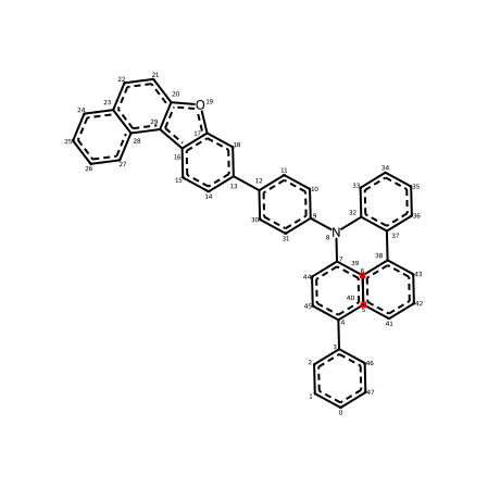 c1ccc(-c2ccc(N(c3ccc(-c4ccc5c(c4)oc4ccc6ccccc6c45)cc3)c3ccccc3-c3ccccc3)cc2)cc1